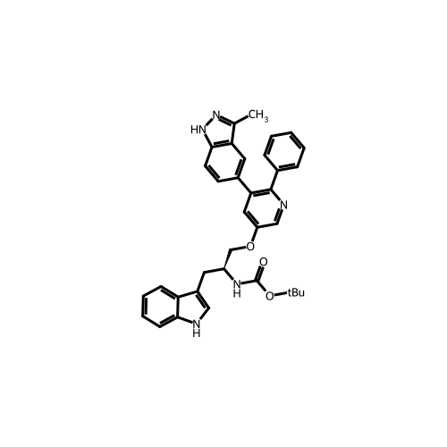 Cc1n[nH]c2ccc(-c3cc(OC[C@H](Cc4c[nH]c5ccccc45)NC(=O)OC(C)(C)C)cnc3-c3ccccc3)cc12